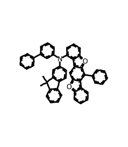 CC1(C)c2ccccc2-c2ccc(N(c3cccc(-c4ccccc4)c3)c3cccc4oc5c(-c6ccccc6)c6c(cc5c34)oc3ccccc36)cc21